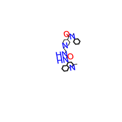 Cc1cc(NC(=O)NCCN2CCC(C(=O)N(C)c3ccccc3)CC2)c2ccccc2n1